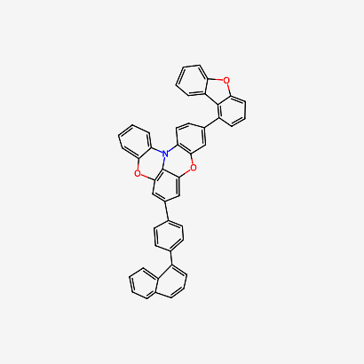 c1ccc2c(c1)Oc1cc(-c3ccc(-c4cccc5ccccc45)cc3)cc3c1N2c1ccc(-c2cccc4oc5ccccc5c24)cc1O3